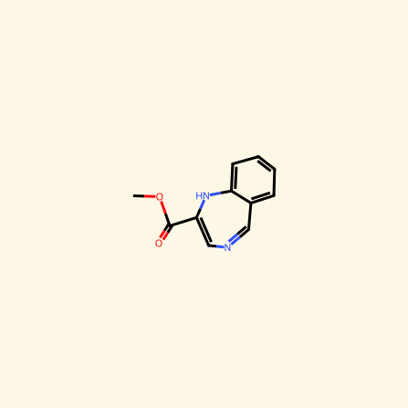 COC(=O)C1=CN=Cc2ccccc2N1